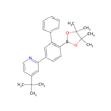 CC(C)(C)c1ccnc(-c2ccc(B3OC(C)(C)C(C)(C)O3)c(-c3ccccc3)c2)c1